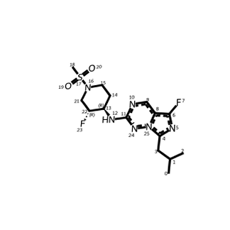 CC(C)Cc1nc(F)c2cnc(N[C@@H]3CCN(S(C)(=O)=O)C[C@H]3F)nn12